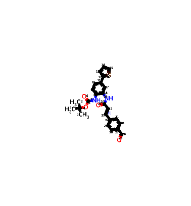 CC(C)(C)OC(=O)Nc1ccc(-c2cccs2)cc1NC(=O)/C=C/c1ccc(C=O)cc1